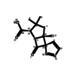 CC1(C)S[C@H]2N(C(=O)[C@]23C=CN=N3)[C@H]1C(=O)O